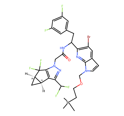 C[Si](C)(C)CCOCn1ccc2cc(Br)c(C(Cc3cc(F)cc(F)c3)NC(=O)Cn3nc(C(F)F)c4c3C(F)(F)[C@@H]3C[C@H]43)nc21